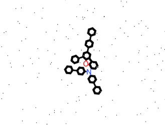 c1ccc(-c2ccc(-c3cc(-c4ccccc4)c4oc5c(N(c6ccc(-c7ccccc7)cc6)c6ccc(-c7ccccc7)cc6)cccc5c4c3)cc2)cc1